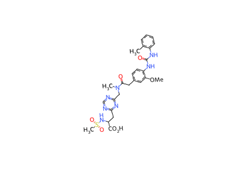 COc1cc(CC(=O)N(C)Cc2ncnc(CC(NS(C)(=O)=O)C(=O)O)n2)ccc1NC(=O)Nc1ccccc1C